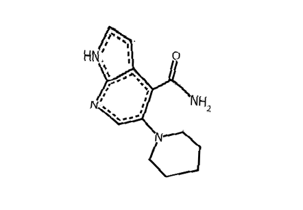 NC(=O)c1c(N2CCCCC2)cnc2[nH]c[c]c12